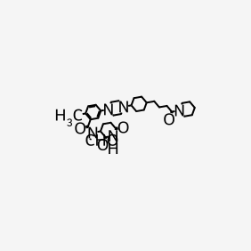 Cc1ccc(N2CCN(C3CCC(CCCC(=O)N4CCCCC4)CC3)CC2)cc1C(=O)N(C=O)C1CCC(=O)NC1=O